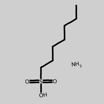 CCCCCCCS(=O)(=O)O.N